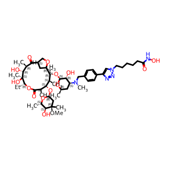 CC[C@H]1OC(=O)[C@H](C)[C@@H](O[C@H]2C[C@@](C)(OC)[C@@H](O)[C@H](C)O2)[C@H](C)[C@@H](O[C@@H]2O[C@H](C)C[C@H](N(C)Cc3ccc(-c4cn(CCCCCC(=O)NO)nn4)cc3)[C@H]2O)[C@@]2(C)C[C@@H](CO2)C(=O)[C@H](C)[C@@H](O)[C@]1(C)O